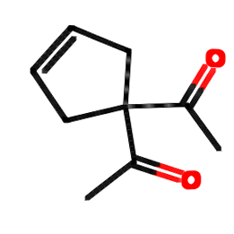 CC(=O)C1(C(C)=O)CC=CC1